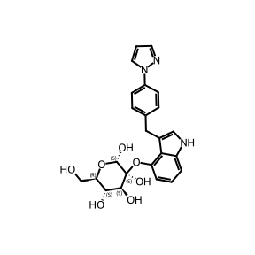 OC[C@H]1O[C@H](O)[C@@](O)(Oc2cccc3[nH]cc(Cc4ccc(-n5cccn5)cc4)c23)[C@@H](O)[C@@H]1O